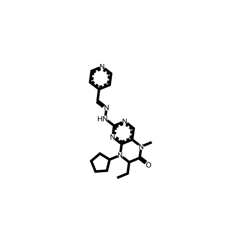 CCC1C(=O)N(C)c2cnc(N/N=C/c3ccncc3)nc2N1C1CCCC1